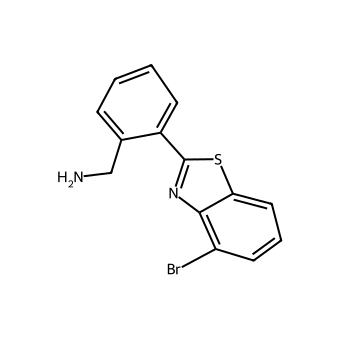 NCc1ccccc1-c1nc2c(Br)cccc2s1